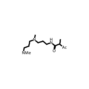 CNCCCN(C)CCCNC(=O)C(C)C(C)=O